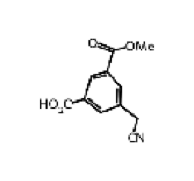 COC(=O)c1cc(CC#N)cc(C(=O)O)c1